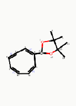 CC1(C)OB(C2=C/C=C\C=C/C=C\2)OC1(C)C